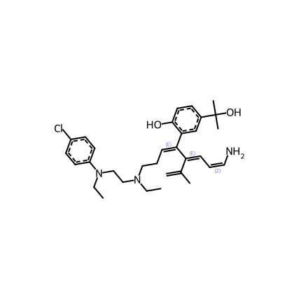 C=C(C)C(=C\C=C/N)/C(=C\CCN(CC)CCN(CC)c1ccc(Cl)cc1)c1cc(C(C)(C)O)ccc1O